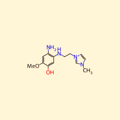 COc1cc(N)c(NCC[n+]2ccn(C)c2)cc1O